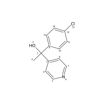 CC(O)(c1ccncc1)c1ccc(Cl)cc1